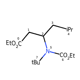 CCOC(=O)CC(CC(C)C)N(C(=O)OCC)C(C)(C)C